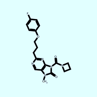 Cn1c(=O)n(C(=O)N2CCC2)c2nc(CCCOc3ccc(F)cc3)ncc21